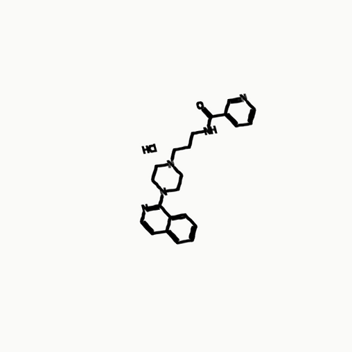 Cl.O=C(NCCCN1CCN(c2nccc3ccccc23)CC1)c1cccnc1